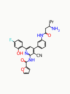 CC(C)C(N)CC(=O)Nc1cccc(-c2cc(-c3ccc(F)cc3O)nc(NC(=O)c3ccco3)c2C#N)c1